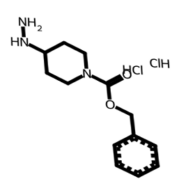 Cl.Cl.NNC1CCN(C(=O)OCc2ccccc2)CC1